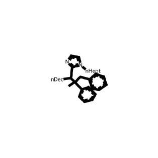 CCCCCCCCCCC(c1nccn1CCCCCCC)C(C)(Cc1ccccc1)c1ccccc1